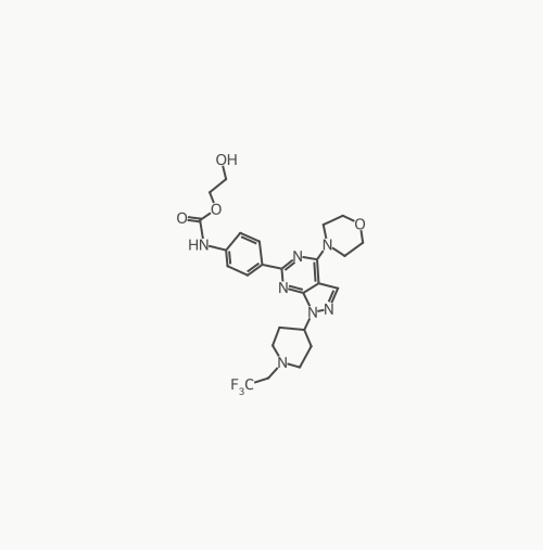 O=C(Nc1ccc(-c2nc(N3CCOCC3)c3cnn(C4CCN(CC(F)(F)F)CC4)c3n2)cc1)OCCO